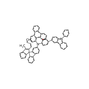 C=C/C=C\C1=C(C)c2ccccc2C12c1ccccc1-c1ccc(N(c3ccc(-c4ccc5c(c4)c4ccccc4n5-c4ccccc4)cc3)c3cccc4c5ccccc5c5ccccc5c34)cc12